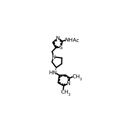 CC(=O)Nc1ncc(CN2CC[C@H](Nc3cc(C)nc(C)c3)C2)s1